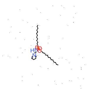 CCCCCCCCCCCCCOP(=O)(NCCN1CCCCC1)OCCCCCCCCCCCCC